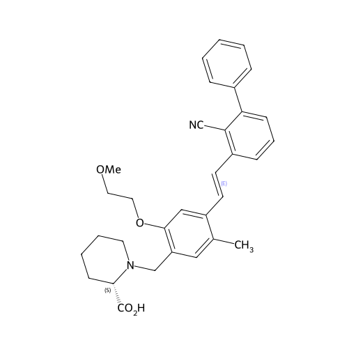 COCCOc1cc(/C=C/c2cccc(-c3ccccc3)c2C#N)c(C)cc1CN1CCCC[C@H]1C(=O)O